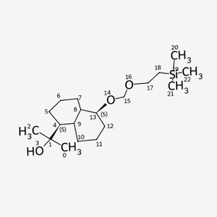 CC(C)(O)[C@H]1CCCC2C1CCC[C@@H]2OCOCC[Si](C)(C)C